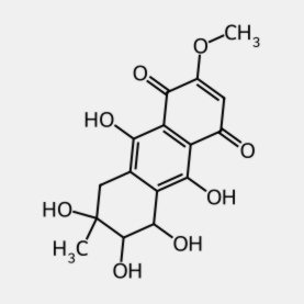 COC1=CC(=O)c2c(O)c3c(c(O)c2C1=O)CC(C)(O)C(O)C3O